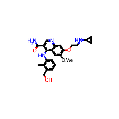 COc1cc2c(Nc3cccc(CO)c3C)c(C(N)=O)cnc2cc1OCCNC1CC1